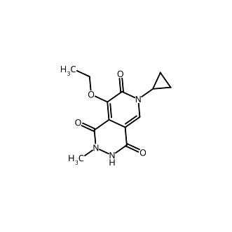 CCOc1c(=O)n(C2CC2)cc2c(=O)[nH]n(C)c(=O)c12